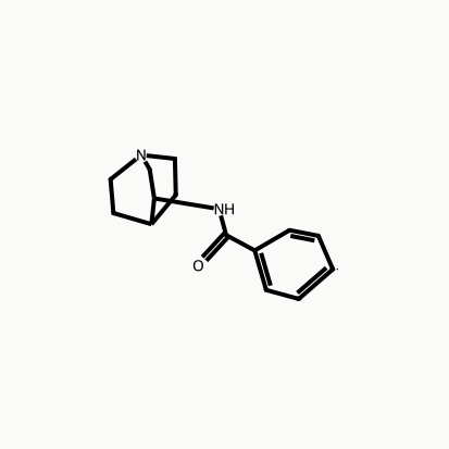 O=C(NC1CN2CCC1CC2)c1cc[c]cc1